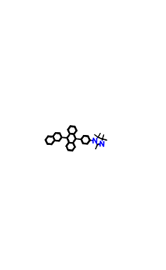 CC1=NC(C)(C)C(C)(C)N1c1ccc(-c2c3ccccc3c(-c3ccc4ccccc4c3)c3ccccc23)cc1